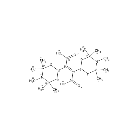 CN1C(C)(C)CC(C(C(=O)O)=C(C(=O)O)C2CC(C)(C)N(C)C(C)(C)C2)CC1(C)C